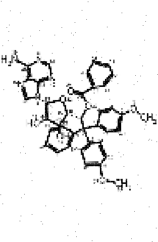 COc1ccc(C(c2ccccc2)(c2ccc(OC)cc2)C(OC(=O)c2ccccc2)[C@H]2O[C@@H](n3cnc4c(N)ncnc43)[C@H](O)[C]2O)cc1